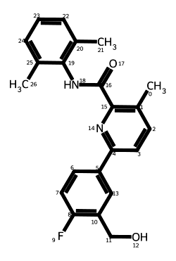 Cc1ccc(-c2ccc(F)c(CO)c2)nc1C(=O)Nc1c(C)cccc1C